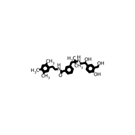 Cc1cc(C)c(CCNC(=O)c2cccc(CC(C)(C)NC[C@@H](O)c3ccc(O)c(CO)c3)c2)cc1C